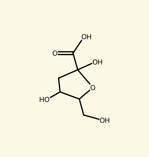 O=C(O)C1(O)CC(O)C(CO)O1